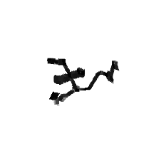 CCOCCN(C)S(=O)(=O)NC